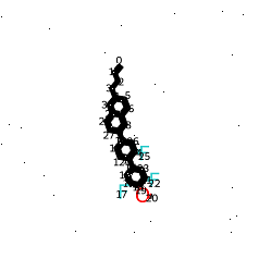 C=CCCc1ccc2cc(-c3ccc(-c4cc(F)c(OC)c(F)c4)c(F)c3)ccc2c1